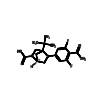 CC(=O)c1c(F)cc(N2C[C@@H]3CC2(C(C)(C)C)CN3C(=O)O)cc1F